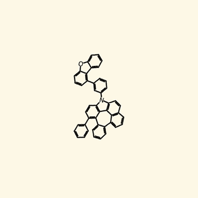 c1ccc(-c2ccc3c4c2-c2ccccc2-c2cccc5ccc(c4c25)n3-c2cccc(-c3cccc4oc5ccccc5c34)c2)cc1